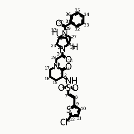 O=C1[C@@H](NS(=O)(=O)/C=C/c2ccc(Cl)s2)CCCN1CC(=O)N1C[C@@H]2C[C@H]1CN2C(=O)c1ccccc1